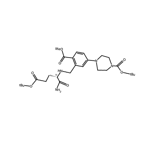 COC(=O)c1ccc(N2CCN(C(=O)OC(C)(C)C)CC2)cc1CN[C@@H](CCC(=O)OC(C)(C)C)C(N)=O